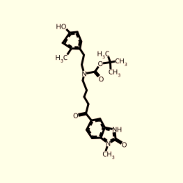 Cc1cc(O)ccc1CCN(CCCCC(=O)c1ccc2c(c1)[nH]c(=O)n2C)C(=O)OC(C)(C)C